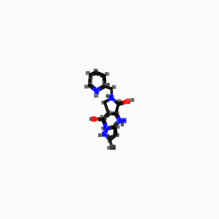 CCc1cc2[nH]c3c(c(=O)n2n1)CN(Cc1ccccn1)C3=O